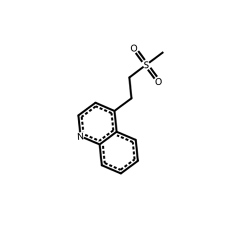 CS(=O)(=O)CCc1ccnc2ccccc12